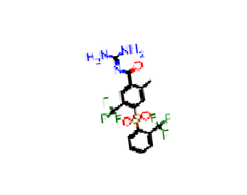 Cc1cc(S(=O)(=O)c2ccccc2C(F)(F)F)c(C(F)(F)F)cc1C(=O)N=C(N)N